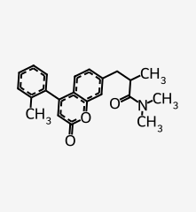 Cc1ccccc1-c1cc(=O)oc2cc(CC(C)C(=O)N(C)C)ccc12